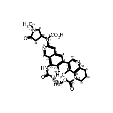 Cc1c(-c2cc3cc(N(C(=O)O)C4CC(=O)N(C)C4)ncc3c(NC(=O)OC(C)(C)C)c2F)cnc2c1N(C(=O)OC(C)(C)C)CCC2